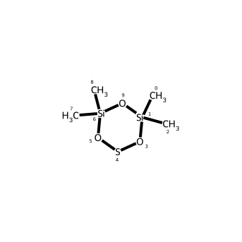 C[Si]1(C)OSO[Si](C)(C)O1